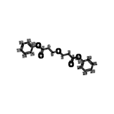 O=C(CCOCCC(=O)Oc1ccccc1)Oc1ccccc1